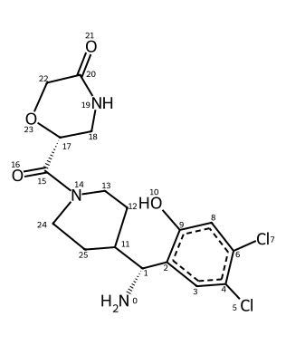 N[C@@H](c1cc(Cl)c(Cl)cc1O)C1CCN(C(=O)[C@H]2CNC(=O)CO2)CC1